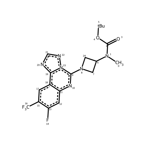 CN(C(=O)OC(C)(C)C)C1CN(c2nc3cc(F)c(C(F)(F)F)cc3c3ncnn23)C1